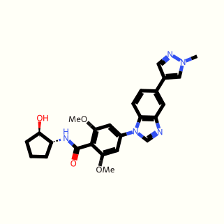 COc1cc(-n2cnc3cc(-c4cnn(C)c4)ccc32)cc(OC)c1C(=O)N[C@@H]1CCC[C@H]1O